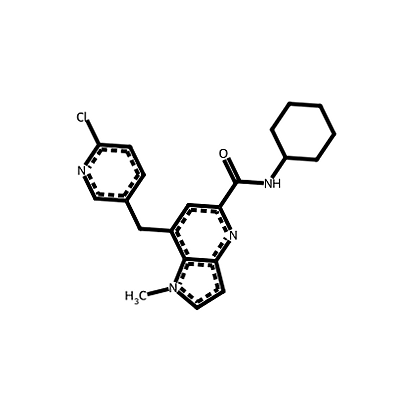 Cn1ccc2nc(C(=O)NC3CCCCC3)cc(Cc3ccc(Cl)nc3)c21